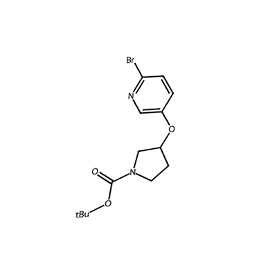 CC(C)(C)OC(=O)N1CCC(Oc2ccc(Br)nc2)C1